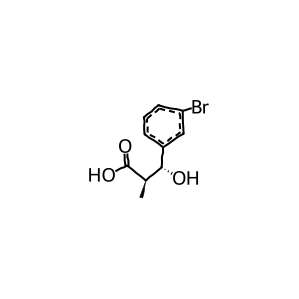 C[C@@H](C(=O)O)[C@@H](O)c1cccc(Br)c1